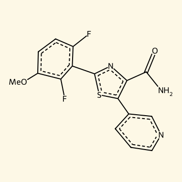 COc1ccc(F)c(-c2nc(C(N)=O)c(-c3cccnc3)s2)c1F